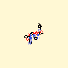 CCC[C@@H](NC(=O)[C@@H]1C2CCCC2CN1C(=O)[C@@H](NC(=O)[C@H](NC(=O)c1cnccn1)C1CCCCC1)C(C)(C)C)C(=O)C(=O)NCc1ccc(C)cc1